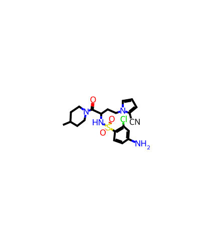 CC1CCN(C(=O)C(CCn2cccc2C#N)NS(=O)(=O)c2ccc(N)cc2Cl)CC1